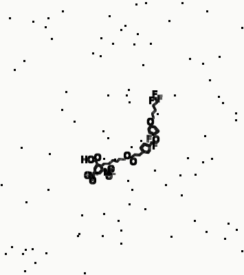 O=C(/C=C/c1ccc(C(F)(F)Oc2ccc(OCCCCCC(F)(F)F)cc2)cc1)OCCCCCCc1c(C(=O)O)cc([N+](=O)[O-])cc1[N+](=O)[O-]